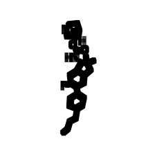 CCCCc1ccc(-c2cc3c(cc2F)[C@H](NC(=O)O[C@H]2CN4CCC2CC4)C(C)(C)C3)cc1